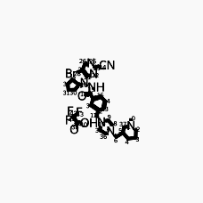 CN1CCCC(CN2CCN(Cc3cccc(C(=O)NN(c4nc(C#N)ncc4Br)C4CCCC4)c3)CC2)C1.O=C(O)C(F)(F)F